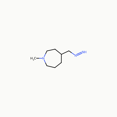 CN1CCCC(CN=N)CC1